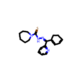 S=C(N/N=C(/C1=CC=CCC1)c1ccccn1)N1CCCCCC1